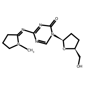 CN1CCC/C1=N/c1ncn([C@H]2CC[C@@H](CO)O2)c(=O)n1